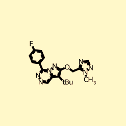 Cn1ncnc1COc1nn2c(-c3ccc(F)cc3)nncc2c1C(C)(C)C